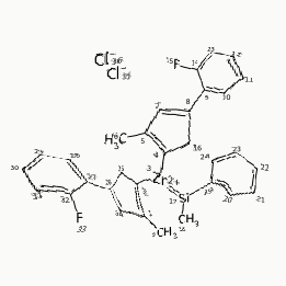 CC1=[C]([Zr+2]([C]2=C(C)C=C(c3ccccc3F)C2)=[Si](C)c2ccccc2)CC(c2ccccc2F)=C1.[Cl-].[Cl-]